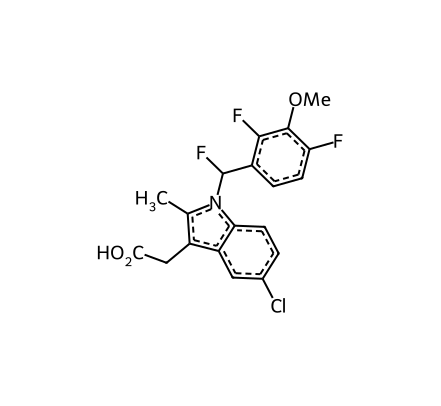 COc1c(F)ccc(C(F)n2c(C)c(CC(=O)O)c3cc(Cl)ccc32)c1F